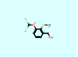 N#CSc1c(CO)cccc1OC(F)F